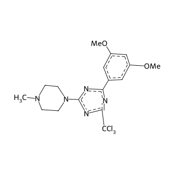 COc1cc(OC)cc(-c2nc(N3CCN(C)CC3)nc(C(Cl)(Cl)Cl)n2)c1